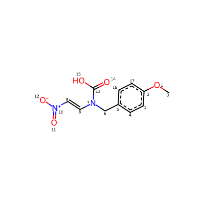 COc1ccc(CN(/C=C/[N+](=O)[O-])C(=O)O)cc1